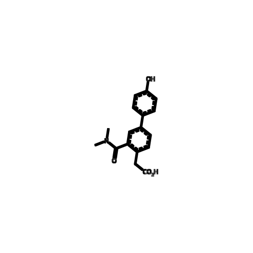 CN(C)C(=O)c1cc(-c2ccc(O)cc2)ccc1CC(=O)O